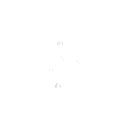 CC(C)OS(=S)C(C)C